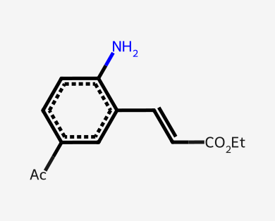 CCOC(=O)/C=C/c1cc(C(C)=O)ccc1N